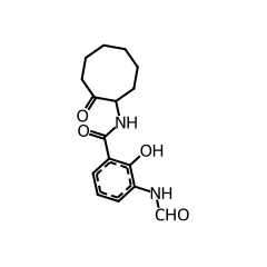 O=CNc1cccc(C(=O)NC2CCCCCCC2=O)c1O